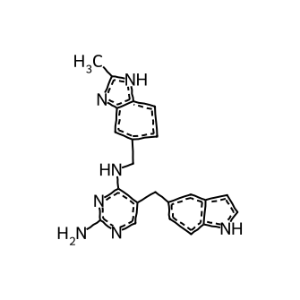 Cc1nc2cc(CNc3nc(N)ncc3Cc3ccc4[nH]ccc4c3)ccc2[nH]1